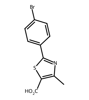 Cc1nc(-c2ccc(Br)cc2)sc1C(=O)O